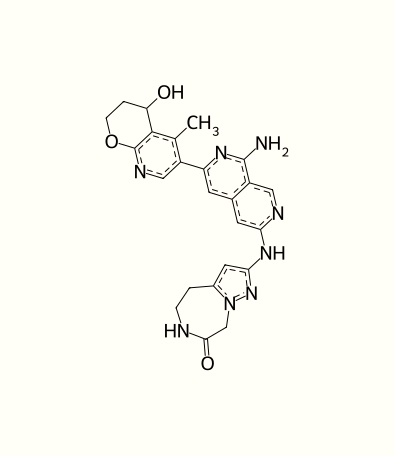 Cc1c(-c2cc3cc(Nc4cc5n(n4)CC(=O)NCC5)ncc3c(N)n2)cnc2c1C(O)CCO2